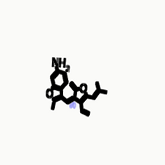 C=Cc1c(C=C(C)C)oc(=C)/c1=C\c1c(C)oc2cc(N)ccc12